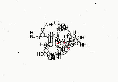 CC[C@H](CC(C)C)C(=O)N[C@H]1C(=O)C[C@@H](CC(=O)NC(=O)Nc2cc(OCCNC)cc(OCCNC)c2)C(=O)N[C@H]2C(=O)C[C@H]3C(=O)N[C@H](C(=O)N[C@H](C(=O)O)c4cc(O)cc(O)c4-c4cc3ccc4O)[C@H](O)c3ccc(c(Cl)c3)Oc3cc2cc(c3O[C@@H]2O[C@H](CN)[C@@H](O)[C@H](O)[C@H]2O[C@H]2C[C@](C)(N)[C@H](O)[C@H](C)O2)Oc2ccc(cc2Cl)[C@H]1O